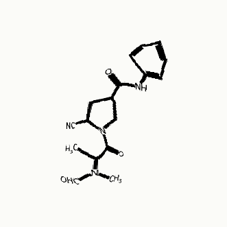 CC(C(=O)N1CC(C(=O)Nc2ccccc2)CC1C#N)N(C)C=O